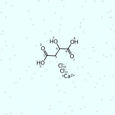 O=C(O)CC(O)C(=O)O.[Ca+2].[Cl-].[Cl-]